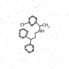 CC(NCCC(c1ccccc1)c1ccccc1)c1cccc(Cl)c1